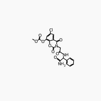 COC(=O)Oc1cc(Cl)cc2c(=O)n(CC(=O)NC(C(N)=O)c3ccccc3)c(=O)oc12